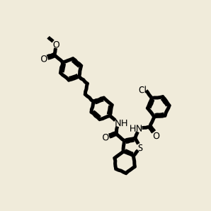 COC(=O)c1ccc(CCc2ccc(NC(=O)c3c(NC(=O)c4cccc(Cl)c4)sc4c3CCCC4)cc2)cc1